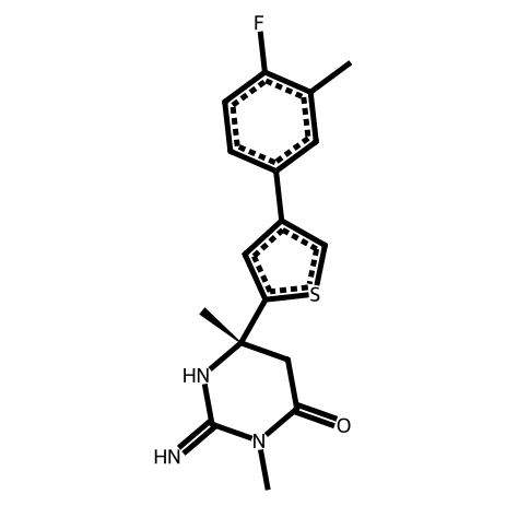 Cc1cc(-c2csc([C@]3(C)CC(=O)N(C)C(=N)N3)c2)ccc1F